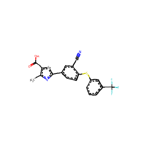 Cc1nc(-c2ccc(Sc3cccc(C(F)(F)F)c3)c(C#N)c2)[se]c1C(=O)O